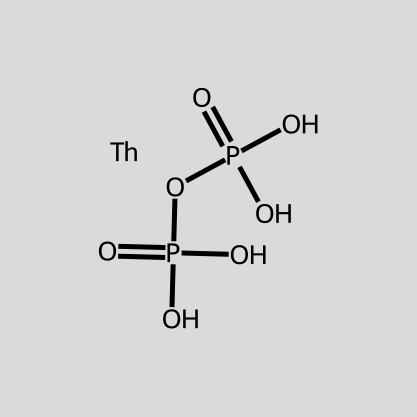 O=P(O)(O)OP(=O)(O)O.[Th]